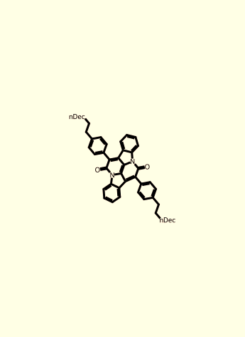 CCCCCCCCCCCCc1ccc(-c2c(=O)n3c4ccccc4c4c(-c5ccc(CCCCCCCCCCCC)cc5)c(=O)n5c6ccccc6c2c5c43)cc1